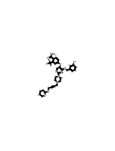 NC(=O)c1ccc(Sc2cnc(N3CCN(CC#CCOC4CCCCO4)CC3)nc2OCc2cccc(I)c2)cc1C(F)(F)F